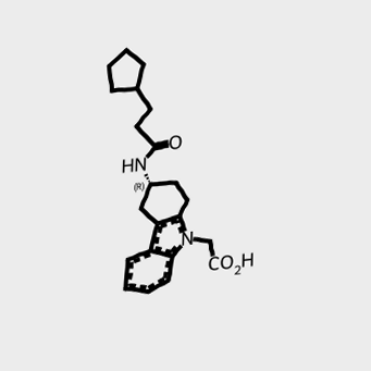 O=C(O)Cn1c2c(c3ccccc31)C[C@H](NC(=O)CCC1CCCC1)CC2